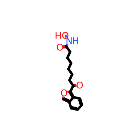 O=C(CCCCCCC(=O)c1occ2ccccc12)NO